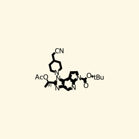 CC(=O)O[C@H](C)c1nc2cnc3c(ccn3C(=O)OC(C)(C)C)c2n1N1CCC(CC#N)CC1